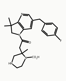 CC1(C)CN(C(=O)CC2(C)CNCCN2C(=O)O)c2cc(Cc3ccc(F)cc3)cnc21